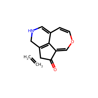 C=C.O=C1CC2=C3C(=CNC2)C=COC=C13